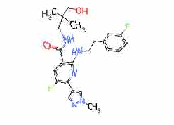 Cn1cc(-c2nc(NCCc3cccc(F)c3)c(C(=O)NCC(C)(C)CO)cc2F)cn1